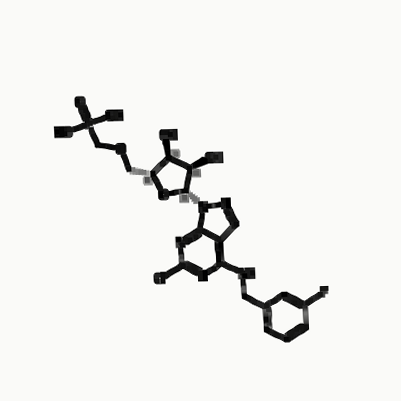 O=P(O)(O)COC[C@H]1O[C@@H](n2ncc3c(NCc4cccc(F)c4)nc(Cl)nc32)[C@H](O)[C@@H]1O